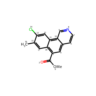 COC(=O)c1cc2ccncc2c2cc(Cl)c(C)cc12